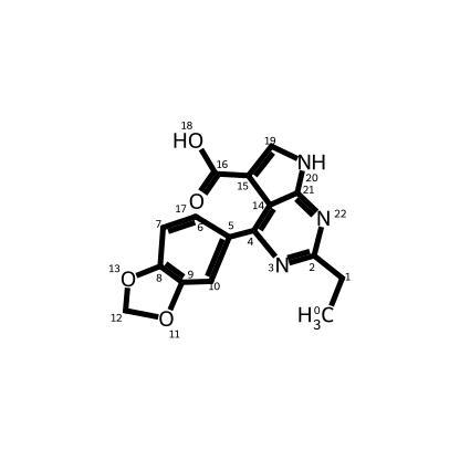 CCc1nc(-c2ccc3c(c2)OCO3)c2c(C(=O)O)c[nH]c2n1